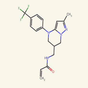 C=CC(=O)NCC1CN(c2ccc(C(F)(F)F)cc2)c2cc(C)nn2C1